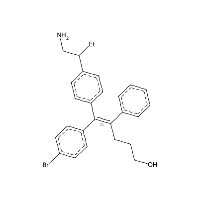 CCC(CN)c1ccc(/C(=C(/CCCO)c2ccccc2)c2ccc(Br)cc2)cc1